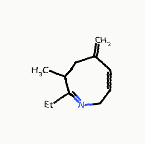 C=C1/C=C\C/N=C(/CC)C(C)C1